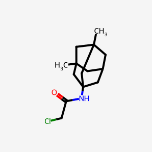 CC12CC3CC(C)(C1)CC(NC(=O)CCl)(C3)C2